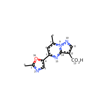 Cc1ncc(-c2cc(C)n3ncc(C(=O)O)c3n2)o1